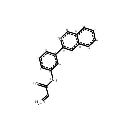 C=CC(=O)Nc1cccc(-c2cc3ccccc3cn2)c1